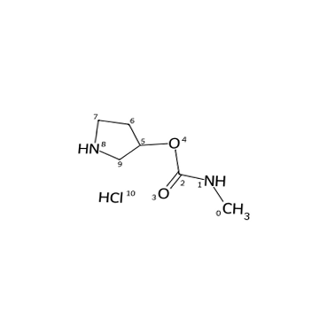 CNC(=O)OC1CCNC1.Cl